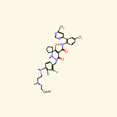 COCCN(C)CCN(C)c1ccc(CN2C(=O)C(C(=O)Nc3ccc(C(F)(F)F)cc3-c3cc(C(F)(F)F)ncn3)=C(O)C3(CCCC3)N2C)c(F)c1F